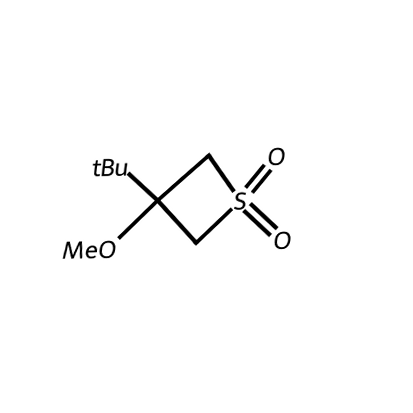 COC1(C(C)(C)C)CS(=O)(=O)C1